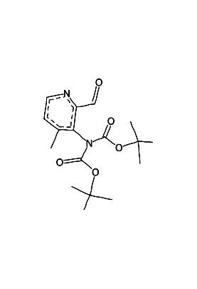 Cc1ccnc(C=O)c1N(C(=O)OC(C)(C)C)C(=O)OC(C)(C)C